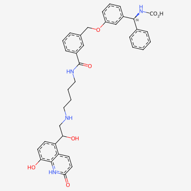 O=C(O)N[C@@H](c1ccccc1)c1cccc(OCc2cccc(C(=O)NCCCCNCC(O)c3ccc(O)c4[nH]c(=O)ccc34)c2)c1